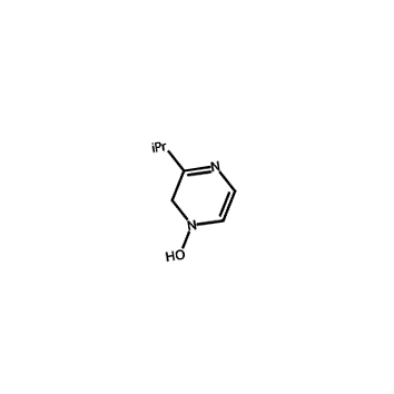 CC(C)C1=NC=CN(O)C1